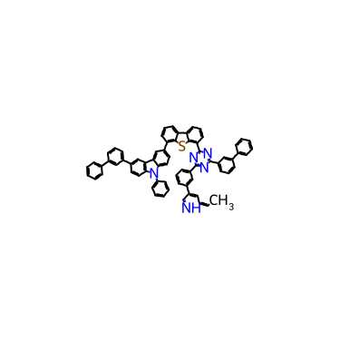 C/C=C\C=C(/C=N)c1cccc(-c2nc(-c3cccc(-c4ccccc4)c3)nc(-c3cccc4c3sc3c(-c5ccc6c(c5)c5cc(-c7cccc(-c8ccccc8)c7)ccc5n6-c5ccccc5)cccc34)n2)c1